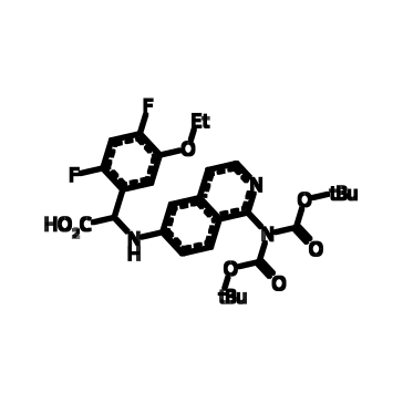 CCOc1cc(C(Nc2ccc3c(N(C(=O)OC(C)(C)C)C(=O)OC(C)(C)C)nccc3c2)C(=O)O)c(F)cc1F